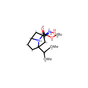 COC(OC)C12CCC(CC(=NO)C1)N2C(=O)OC(C)(C)C